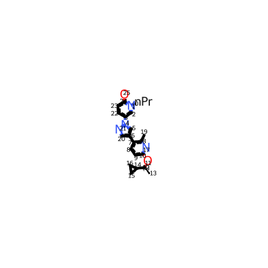 CCCn1cc(-n2cc(-c3ccc(O[C@@H](C)C4CC4)nc3C)cn2)ccc1=O